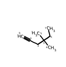 C#CCC(C)(C)CC